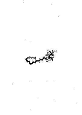 CCCCC/C=C\C/C=C\CCCCCCCC(=O)O[C@@]1(O)CO[C@@H]2[C@H](O)CO[C@@H]21